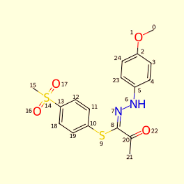 COc1ccc(N/N=C(/Sc2ccc(S(C)(=O)=O)cc2)C(C)=O)cc1